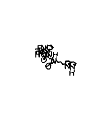 COCCN(CCCCc1ccc2c(n1)NCCC2)CC[C@H](Nc1c2ccccc2nc(C(F)(F)F)[n+]1O)C(C)=O